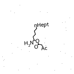 CCCCCCCCCCCC(N)OC(=O)CC(C)=O